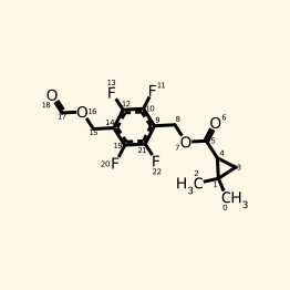 CC1(C)CC1C(=O)OCc1c(F)c(F)c(COC=O)c(F)c1F